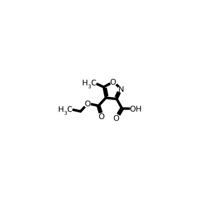 CCOC(=O)c1c(C(=O)O)noc1C